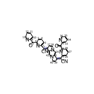 N#C/C(c1cccc(C(=O)c2ccccn2)n1)=c1/ccn2cc3/c(=C(/C#N)c4cccc(C(=O)c5ccccn5)n4)ccn3cc12